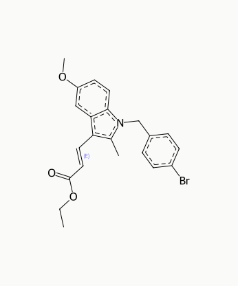 CCOC(=O)/C=C/c1c(C)n(Cc2ccc(Br)cc2)c2ccc(OC)cc12